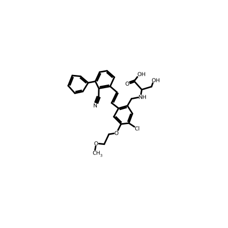 COCCOc1cc(/C=C/c2cccc(-c3ccccc3)c2C#N)c(CNC(CO)C(=O)O)cc1Cl